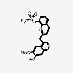 COc1cc2cncc(Cc3ccc4cccc(OS(=O)(=O)C(F)(F)F)c4n3)c2cc1OC